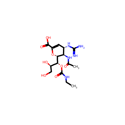 CCNC(=O)O[C@@H]([C@@H]1OC(C(=O)O)=C[C@H](NC(=N)N)[C@H]1NC(C)=O)[C@H](O)CO